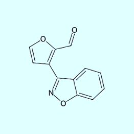 O=Cc1occc1-c1noc2ccccc12